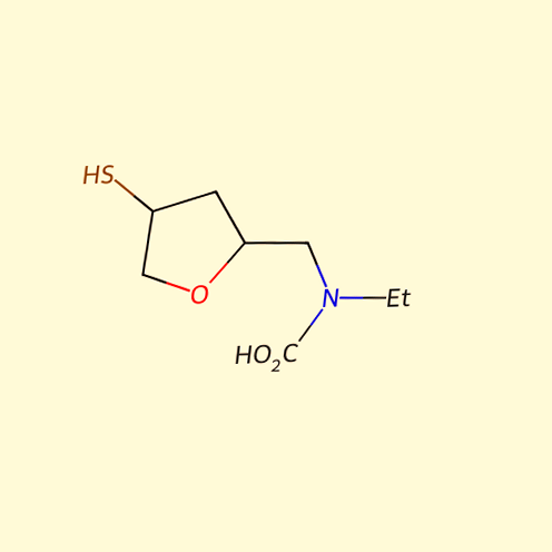 CCN(CC1CC(S)CO1)C(=O)O